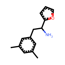 Cc1cc(C)cc(CC(N)c2ccco2)c1